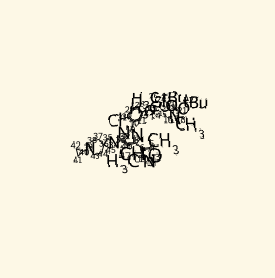 Cc1noc(C)c1-c1nc(-c2cc(OC[C@@H](CN(C)C(=O)OC(C)(C)C)O[Si](C)(C)C(C)(C)C)ccc2Cl)nc(N2CC3(CCN(C4CC4)CC3)C2)c1C